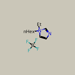 CCCCCC[N+]1(CC)C=CN=C1.F[B-](F)(F)F